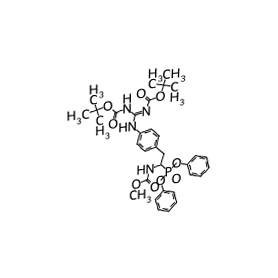 COC(=O)NC(Cc1ccc(NC(=NC(=O)OC(C)(C)C)NC(=O)OC(C)(C)C)cc1)P(=O)(Oc1ccccc1)Oc1ccccc1